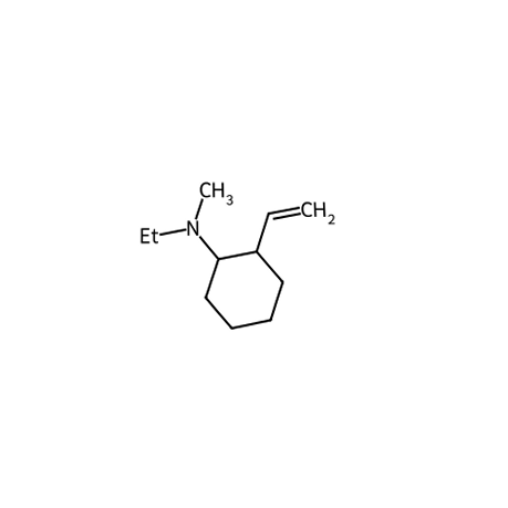 C=CC1CCCCC1N(C)CC